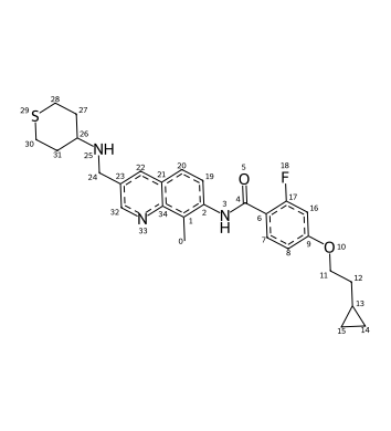 Cc1c(NC(=O)c2ccc(OCCC3CC3)cc2F)ccc2cc(CNC3CCSCC3)cnc12